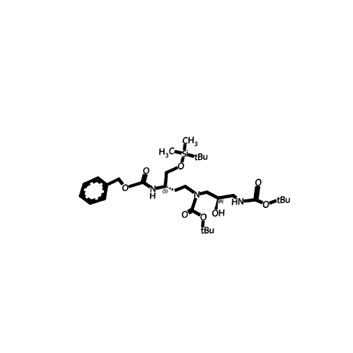 CC(C)(C)OC(=O)NC[C@@H](O)CN(CC[C@@H](CO[Si](C)(C)C(C)(C)C)NC(=O)OCc1ccccc1)C(=O)OC(C)(C)C